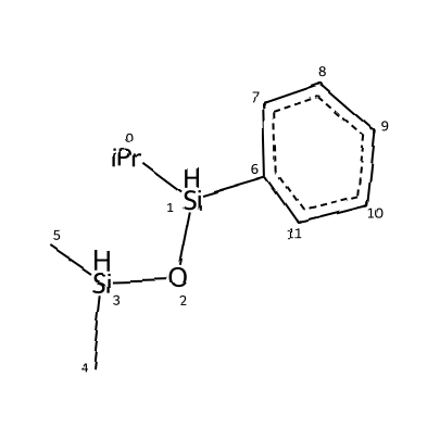 CC(C)[SiH](O[SiH](C)C)c1ccccc1